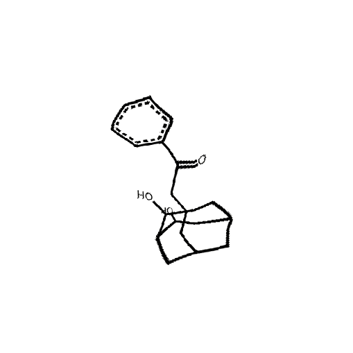 O=C(CC12CC3CC(C1)C(O)C(C3)C2O)c1ccccc1